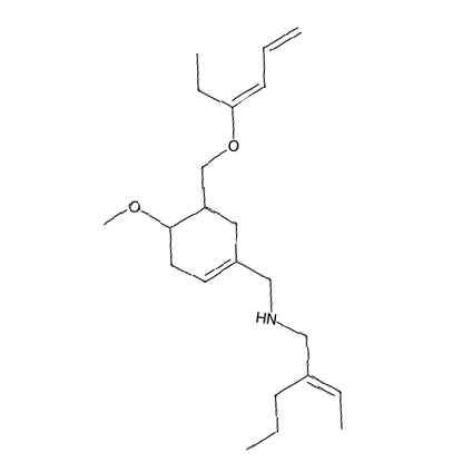 C=C/C=C(\CC)OCC1CC(CNC/C(=C/C)CCC)=CCC1OC